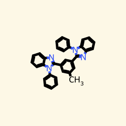 Cc1cc(-c2nc3ccccc3n2-c2ccccc2)cc(-c2nc3ccccc3n2-c2ccccc2)c1